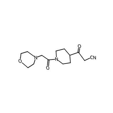 N#CCC(=O)C1CCN(C(=O)CN2CCOCC2)CC1